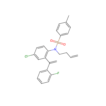 C=CCCN(c1ccc(Cl)cc1C(=C)c1ccccc1F)S(=O)(=O)c1ccc(C)cc1